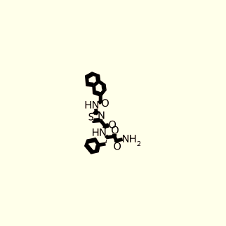 NC(=O)C(=O)[C@H](Cc1ccccc1)NC(=O)c1csc(NC(=O)c2ccc3ccccc3c2)n1